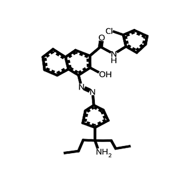 CCCC(N)(CCC)c1ccc(N=Nc2c(O)c(C(=O)Nc3ccccc3Cl)cc3ccccc23)cc1